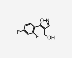 OCc1cnoc1-c1ccc(F)cc1F